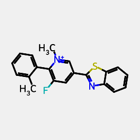 Cc1ccccc1-c1c(F)cc(-c2nc3ccccc3s2)c[n+]1C